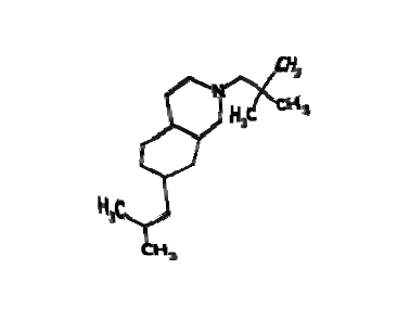 CC(C)CC1CCC2CCN(CC(C)(C)C)CC2C1